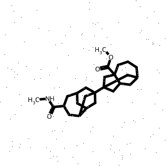 CNC(=O)C1CC2CC3CC(C45CC6CCCC(C(=O)OC)(C4)C(C6)C5)(C2)CC3C1